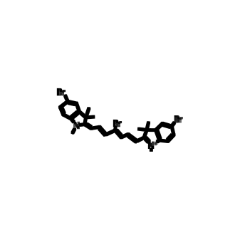 CN1/C(=C/C=C/C(Br)=C/C=C/C2=[N+](C)c3ccc(Br)cc3C2(C)C)C(C)(C)c2cc(Br)ccc21